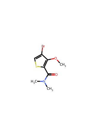 COc1c(Br)csc1C(=O)N(C)C